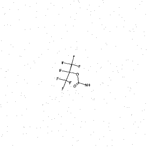 [NH]C(=O)OC(F)(C(F)(F)F)C(F)(F)F